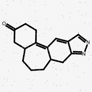 O=C1CCC2=C3C=C4C=NN=C4CC3CCCC2C1